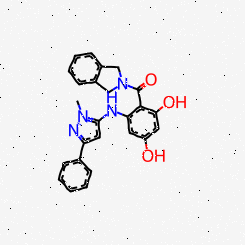 Cn1nc(-c2ccccc2)cc1Nc1cc(O)cc(O)c1C(=O)N1Cc2ccccc2C1